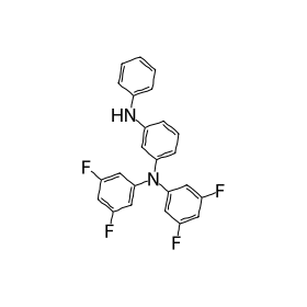 Fc1cc(F)cc(N(c2cc(F)cc(F)c2)c2cccc(Nc3ccccc3)c2)c1